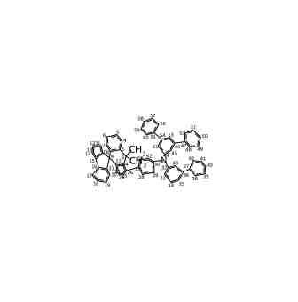 CC1(C)c2ccccc2C2(c3ccccc3-c3ccccc32)c2cccc(-c3ccc(N(c4cccc(-c5ccccc5)c4)c4cc(-c5ccccc5)cc(-c5ccccc5)c4)cc3)c21